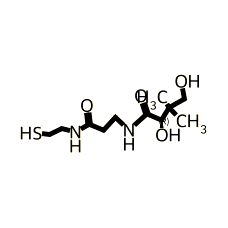 CC(C)(CO)[C@@H](O)C(=O)NCCC(=O)NCCS